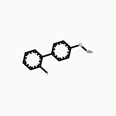 CC(C)(C)Oc1ccc(-c2ccccc2I)cc1